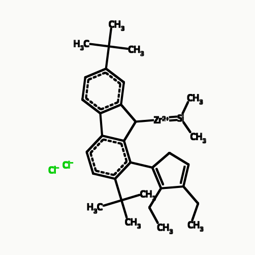 CCC1=CCC(c2c(C(C)(C)C)ccc3c2[CH]([Zr+2]=[Si](C)C)c2cc(C(C)(C)C)ccc2-3)=C1CC.[Cl-].[Cl-]